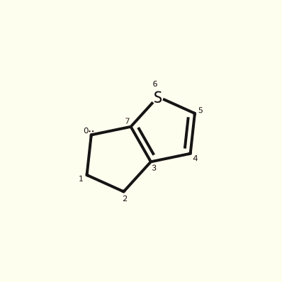 [C]1CCc2ccsc21